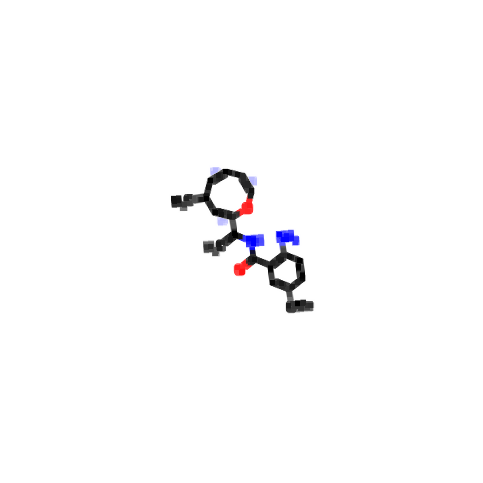 C=C1/C=C\C=C/O/C(C(=C)NC(=O)c2cc(OC)ccc2N)=C\1